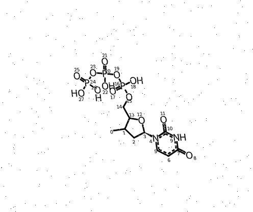 CC1C[C@H](n2ccc(=O)[nH]c2=O)OC1COP(=O)(O)OP(=O)(O)OP(=O)(O)O